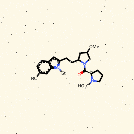 CCn1c(CCC2CC(OC)CN2C(=O)[C@H]2CCCN2C(=O)O)cc2ccc(C#N)cc21